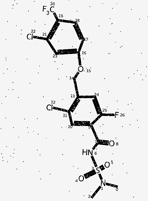 CN(C)S(=O)(=O)NC(=O)c1cc(Cl)c(COc2ccc(C(F)(F)F)c(Cl)c2)cc1F